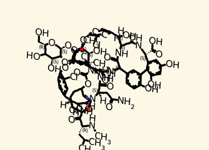 CN[C@H](CC(C)C)C(=O)N[C@H]1C(=O)N[C@@H](CC(N)=O)C(=O)N[C@H]2C(=O)N[C@H]3C(=O)N[C@H](C(=O)N[C@H](C(=O)O)c4cc(O)cc(O)c4-c4cc3ccc4O)[C@H](O)c3ccc(c(Cl)c3)Oc3cc2cc(c3O[C@@H]2O[C@H](CO)C(O)[C@H](O)C2OC2C[C@](C)(NC(=O)OC3/C=C/CCCCC3)[C@H](O)[C@H](C)O2)Oc2ccc(cc2Cl)[C@H]1O